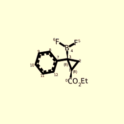 CCOC(=O)[C@@H]1C[C@@]1(B(F)F)c1ccccc1